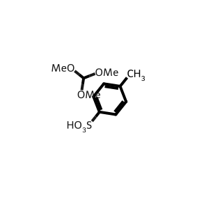 COC(OC)OC.Cc1ccc(S(=O)(=O)O)cc1